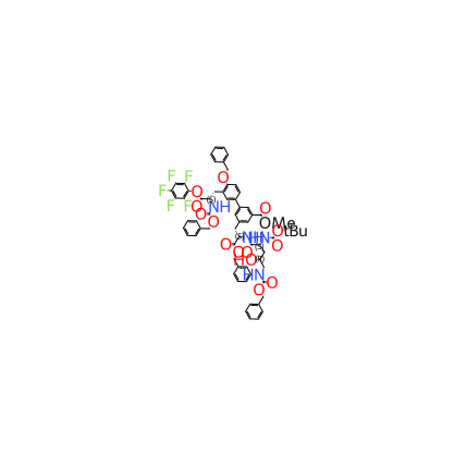 COC(=O)c1cc(C[C@H](NC(=O)[C@H](C[C@@H](O)CNC(=O)OCc2ccccc2)NC(=O)OC(C)(C)C)C(=O)OCc2ccccc2)cc(-c2ccc(OCc3ccccc3)c(C[C@H](NC(=O)OCc3ccccc3)C(=O)Oc3c(F)c(F)c(F)c(F)c3F)c2)c1